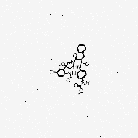 COC(=O)Nc1ccc(NC(=O)C(Cc2ccccc2)C(=O)N2CCC(OC)(c3cc(Cl)ccc3NC=O)C2)cc1